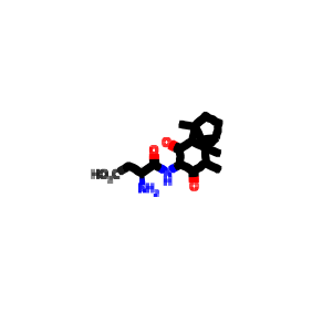 CC1C(=O)C(NC(=O)[C@@H](N)CC(=O)O)C(=O)[C]2C3(C)CCC(C3)C21C